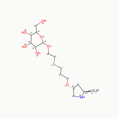 O=C(O)[C@@H]1C[C@@H](OCCCSCCOC2OC(CO)C(O)C(O)C2O)CN1